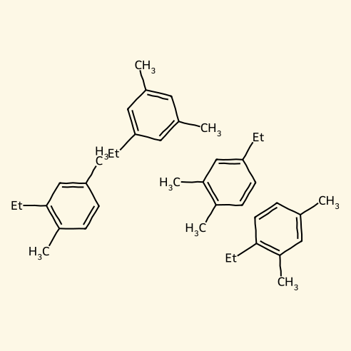 CCc1cc(C)cc(C)c1.CCc1cc(C)ccc1C.CCc1ccc(C)c(C)c1.CCc1ccc(C)cc1C